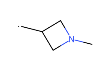 [CH2]C1CN(C)C1